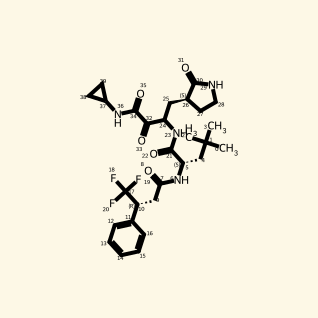 CC(C)(C)C[C@H](NC(=O)C[C@H](c1ccccc1)C(F)(F)F)C(=O)NC(C[C@@H]1CCNC1=O)C(=O)C(=O)NC1CC1